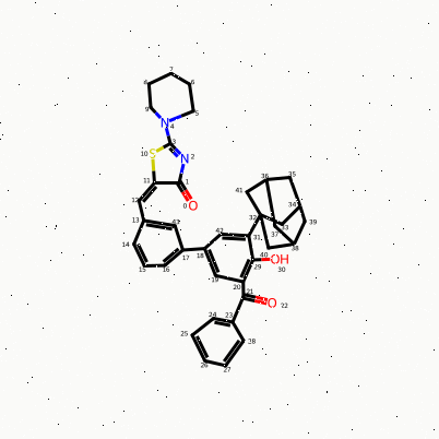 O=C1N=C(N2CCCCC2)SC1=Cc1cccc(-c2cc(C(=O)c3ccccc3)c(O)c(C34CC5CC(CC(C5)C3)C4)c2)c1